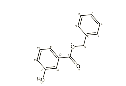 O=C(OCc1ccccc1)c1cc[c]c(O)c1